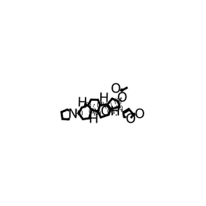 CC(=O)O[C@H]1C[C@]2(O)[C@@H]3CC[C@@H]4C[C@@H](N5CCCC5)CC[C@]4(C)[C@H]3CC[C@]2(C)[C@H]1C1=CC(=O)OC1